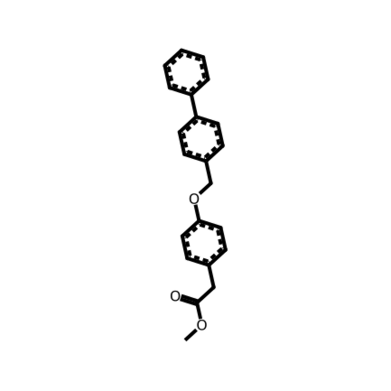 COC(=O)Cc1ccc(OCc2ccc(-c3ccccc3)cc2)cc1